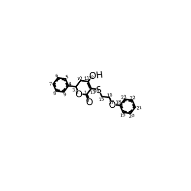 O=C1OC(c2ccccc2)CC(O)=C1SCCOc1ccccc1